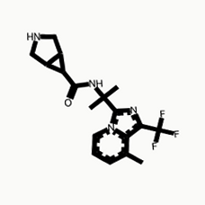 Cc1cccn2c(C(C)(C)NC(=O)C3C4CNCC43)nc(C(F)(F)F)c12